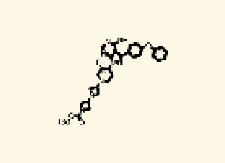 CC(C)(C)OC(=O)N1CC(N2CC(N3CCC(n4nc(-c5ccc(Oc6ccccc6)cc5)c5c(N)ncnc54)[C@H](F)C3)C2)C1